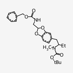 CCC(Cc1ccc2c(c1)OC(CNC(=O)OCc1ccccc1)O2)N(C)C(=O)OC(C)(C)C